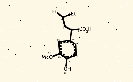 CCC(CC)CC(C(=O)O)c1ccc(O)c(OC)c1